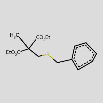 CCOC(=O)C(C)(CSCc1ccccc1)C(=O)OCC